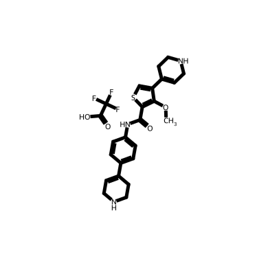 COc1c(C2=CCNCC2)csc1C(=O)Nc1ccc(C2=CCNCC2)cc1.O=C(O)C(F)(F)F